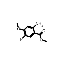 COC(=O)c1cc(F)c(OC)cc1N